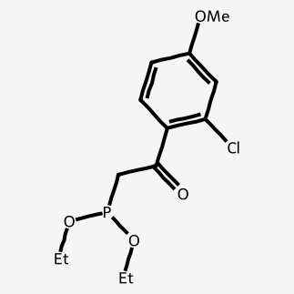 CCOP(CC(=O)c1ccc(OC)cc1Cl)OCC